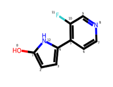 Oc1ccc(-c2ccncc2F)[nH]1